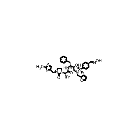 Cc1nc(CN2CCN([C@H](C(=O)N[C@@H](Cc3ccccc3)[C@H](O)CN(Cc3ccco3)S(=O)(=O)c3ccc(C=NO)cc3)C(C)C)C2=O)cs1